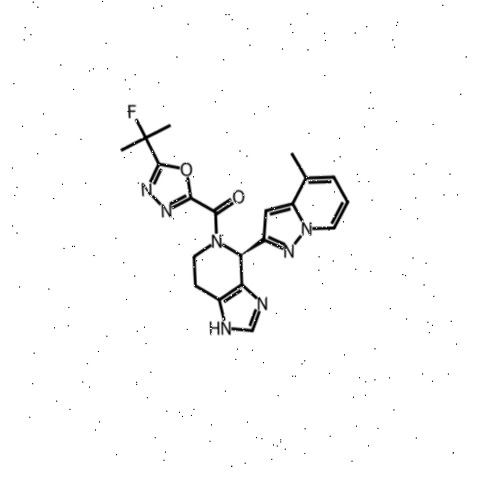 Cc1cccn2nc([C@H]3c4nc[nH]c4CCN3C(=O)c3nnc(C(C)(C)F)o3)cc12